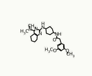 COc1cc(CC(=O)NC2CCC(Nc3nc4c(c(N(C)C)n3)CCCC4)CC2)cc(OC)c1